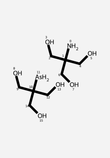 NC(CO)(CO)CO.OCC([AsH2])(CO)CO